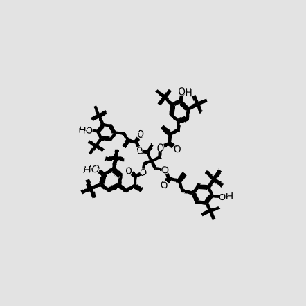 C=C(Cc1cc(C(C)(C)C)c(O)c(C(C)(C)C)c1)C(=O)OCC(COC(=O)C(=C)Cc1cc(C(C)(C)C)c(O)c(C(C)(C)C)c1)(COC(=O)C(=C)Cc1cc(C(C)(C)C)c(O)c(C(C)(C)C)c1)C(C)OC(=O)C(=C)Cc1cc(C(C)(C)C)c(O)c(C(C)(C)C)c1